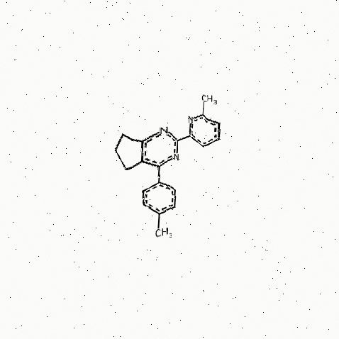 Cc1ccc(-c2nc(-c3cccc(C)n3)nc3c2CCC3)cc1